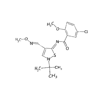 CON=Cc1cn(C(C)(C)C)sc1=NC(=O)c1cc(Cl)ccc1OC